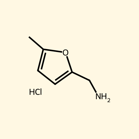 Cc1ccc(CN)o1.Cl